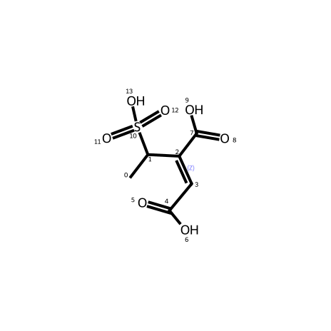 CC(/C(=C\C(=O)O)C(=O)O)S(=O)(=O)O